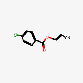 N#CC=COC(=O)c1ccc(Cl)cc1